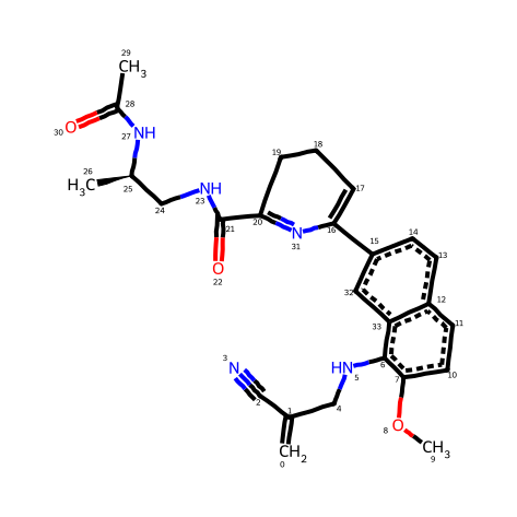 C=C(C#N)CNc1c(OC)ccc2ccc(C3=CCCC(C(=O)NC[C@@H](C)NC(C)=O)=N3)cc12